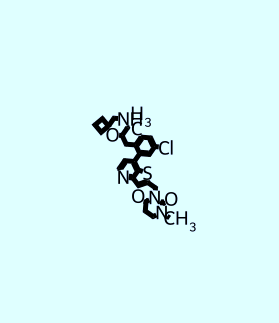 Cc1cc(Cl)cc(-c2ccnc3cc(CN4C(=O)CCN(C)C4=O)sc23)c1CC1CNCC2(CCC2)O1